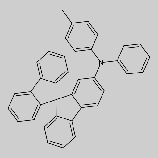 Cc1ccc(N(c2ccccc2)c2ccc3c(c2)C2(c4ccccc4-c4ccccc42)c2ccccc2-3)cc1